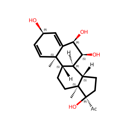 CC(=O)[C@@]1(O)CC[C@H]2[C@@H]3[C@H](O)[C@H](O)C4=C[C@H](O)C=C[C@]4(C)[C@H]3CC[C@@]21C